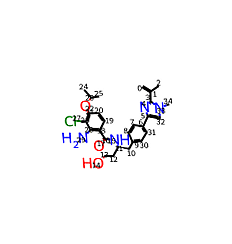 C=C(C)c1nc(-c2ccc(C[C@@H](CCO)NC(=O)c3ccc(OC(C)C)c(Cl)c3N)cc2)cn1C